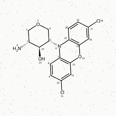 N[C@@H]1COC[C@H](N2c3ccc(Cl)cc3Oc3cc(Cl)ccc32)[C@H]1O